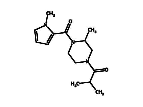 CC(C)C(=O)N1CCN(C(=O)c2cccn2C)C(C)C1